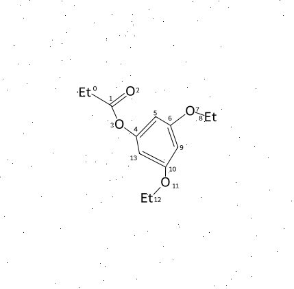 C[CH]C(=O)Oc1cc(OCC)cc(OCC)c1